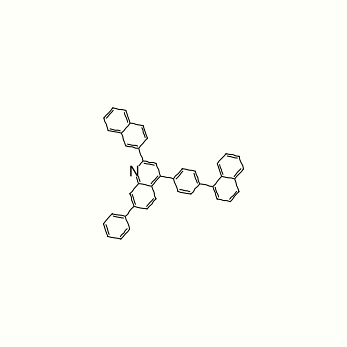 c1ccc(-c2ccc3c(-c4ccc(-c5cccc6ccccc56)cc4)cc(-c4ccc5ccccc5c4)nc3c2)cc1